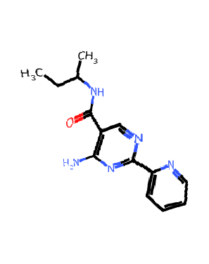 CCC(C)NC(=O)c1cnc(-c2ccccn2)nc1N